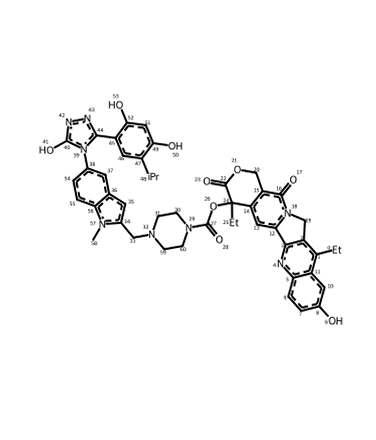 CCc1c2c(nc3ccc(O)cc13)-c1cc3c(c(=O)n1C2)COC(=O)C3(CC)OC(=O)N1CCN(Cc2cc3cc(-n4c(O)nnc4-c4cc(C(C)C)c(O)cc4O)ccc3n2C)CC1